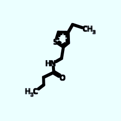 CCCC(=O)NCc1cc(CC)cs1